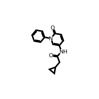 O=C(CC1CC1)Nc1ccc(=O)n(-c2ccccc2)c1